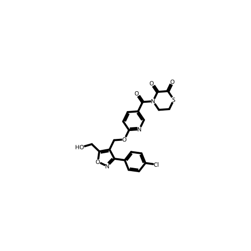 O=C1SCCN(C(=O)c2ccc(OCc3c(-c4ccc(Cl)cc4)noc3CO)nc2)C1=O